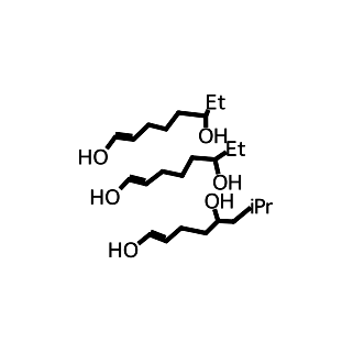 CC(C)CC(O)CCC=CO.CCC(O)CCCC=CO.CCC(O)CCCC=CO